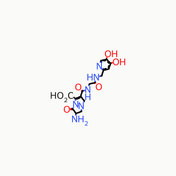 NC1CN2CC(C(=O)NCC(=O)NCc3cc(O)c(O)cn3)=C(C(=O)O)N2C1=O